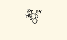 CC(C)c1[nH]sc2ccccc2oc1C(C)C